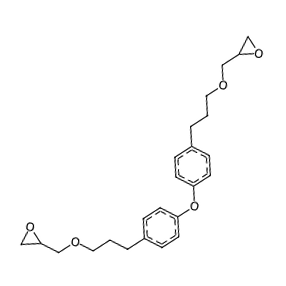 c1cc(Oc2ccc(CCCOCC3CO3)cc2)ccc1CCCOCC1CO1